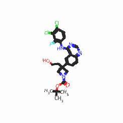 CC(C)(C)OC(=O)N1CC(CCO)(c2ccc3ncnc(Nc4ccc(Cl)c(Cl)c4F)c3c2)C1